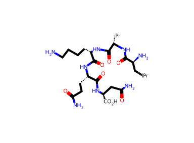 CC(C)C[C@H](N)C(=O)N[C@H](C(=O)N[C@@H](CCCCN)C(=O)N[C@@H](CCC(N)=O)C(=O)N[C@@H](CC(N)=O)C(=O)O)C(C)C